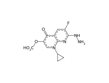 NNc1nc2c(cc1F)c(=O)c(OC(=O)O)cn2C1CC1